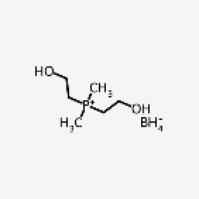 C[P+](C)(CCO)CCO.[BH4-]